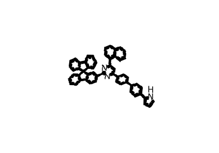 c1c[nH]c(-c2ccc(-c3ccc(-c4cc(-c5cccc6ccccc56)nc(-c5ccc6c(c5)C5(c7ccccc7-c7ccccc75)c5ccccc5-6)n4)cc3)cc2)c1